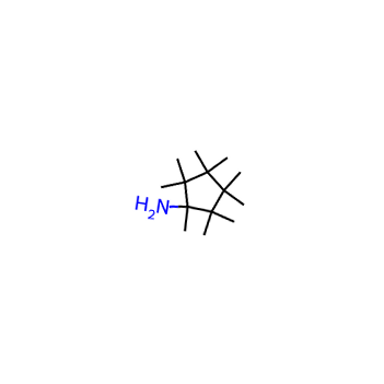 CC1(C)C(C)(C)C(C)(C)C(C)(N)C1(C)C